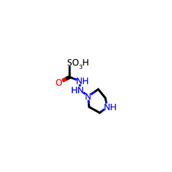 O=C(NNN1CCNCC1)S(=O)(=O)O